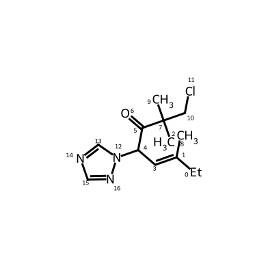 CC/C(C)=C/C(C(=O)C(C)(C)CCl)n1cncn1